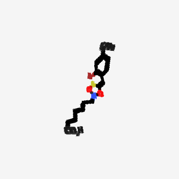 COc1ccc(C=C2ON(CCCCCCC(=O)O)OS2)c(Br)c1